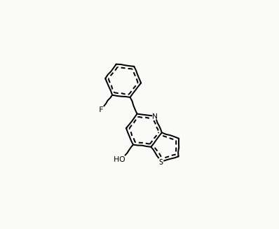 Oc1cc(-c2ccccc2F)nc2ccsc12